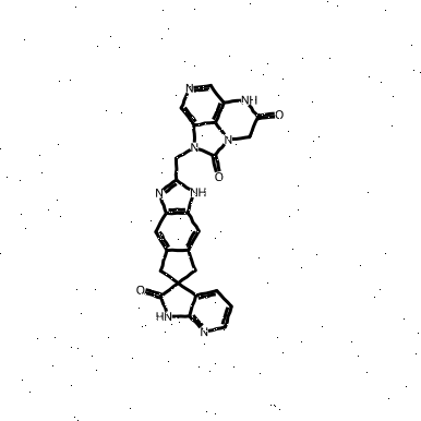 O=C1Cn2c(=O)n(Cc3nc4cc5c(cc4[nH]3)CC3(C5)C(=O)Nc4ncccc43)c3cncc(c32)N1